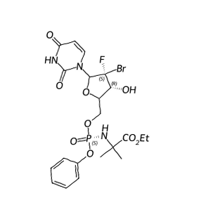 CCOC(=O)C(C)(C)N[P@](=O)(OCC1OC(n2ccc(=O)[nH]c2=O)[C@@](F)(Br)[C@@H]1O)Oc1ccccc1